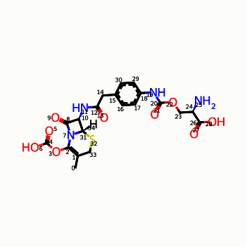 CC1=C(OC(=O)O)N2C(=O)[C@@H](NC(=O)Cc3ccc(NC(=O)OC[C@@H](N)C(=O)O)cc3)[C@@H]2SC1